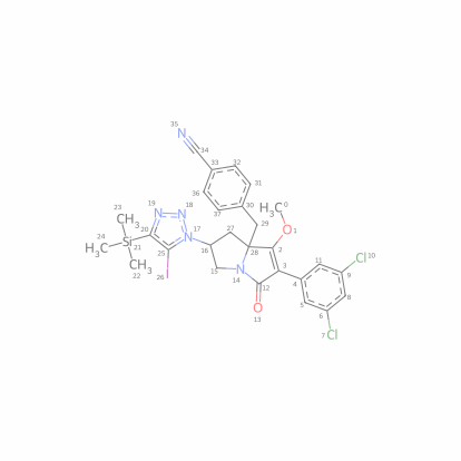 COC1=C(c2cc(Cl)cc(Cl)c2)C(=O)N2CC(n3nnc([Si](C)(C)C)c3I)CC12Cc1ccc(C#N)cc1